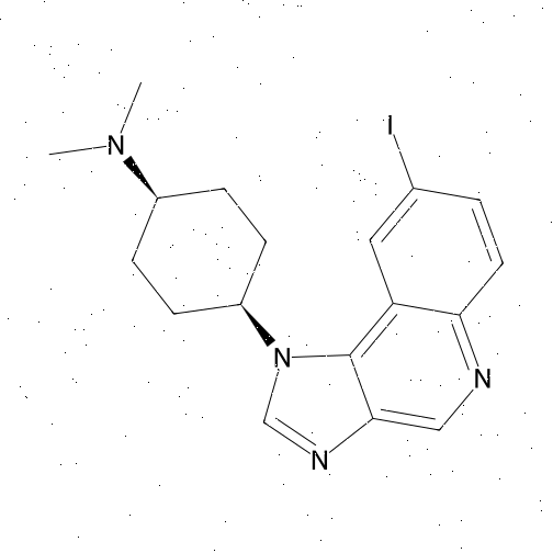 CN(C)[C@H]1CC[C@@H](n2cnc3cnc4ccc(I)cc4c32)CC1